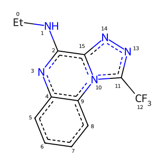 CCNc1nc2ccccc2n2c(C(F)(F)F)nnc12